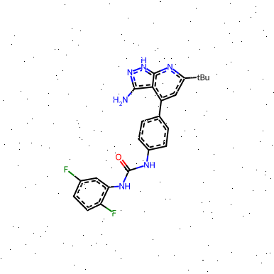 CC(C)(C)c1cc(-c2ccc(NC(=O)Nc3cc(F)ccc3F)cc2)c2c(N)n[nH]c2n1